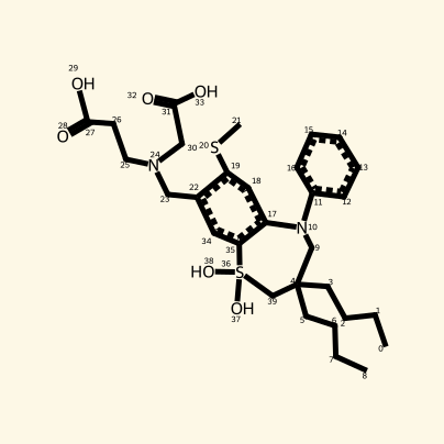 CCCCC1(CCCC)CN(c2ccccc2)c2cc(SC)c(CN(CCC(=O)O)CC(=O)O)cc2S(O)(O)C1